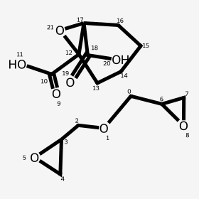 C(OCC1CO1)C1CO1.O=C(O)C12CCCCC1(C(=O)O)O2